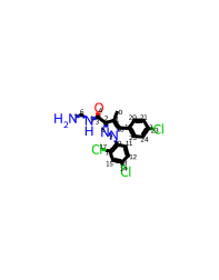 Cc1c(C(=O)NCN)nn(-c2ccc(Cl)cc2Cl)c1-c1ccc(Cl)cc1